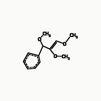 COC=C(OC)C(OC)c1ccccc1